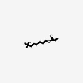 C=CC(=O)OCCCCCCC(C)(C)C